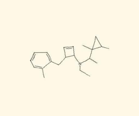 CCN(C1C=CC1Cc1ccccc1C)C(C)C1(C)CC1C